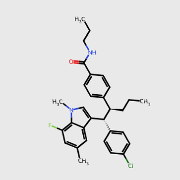 CCCNC(=O)c1ccc([C@@H](CCC)[C@H](c2ccc(Cl)cc2)c2cn(C)c3c(F)cc(C)cc23)cc1